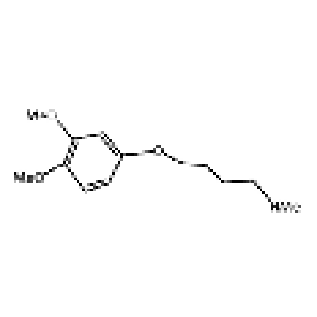 CNCCCCOc1ccc(OC)c(OC)c1